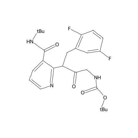 CC(C)(C)NC(=O)c1cccnc1C(Cc1cc(F)ccc1F)C(=O)CNC(=O)OC(C)(C)C